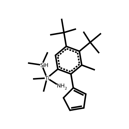 Cc1c(C2=CC=CC2)[c]([Ti]([CH3])([CH3])([NH2])[SiH](C)C)cc(C(C)(C)C)c1C(C)(C)C